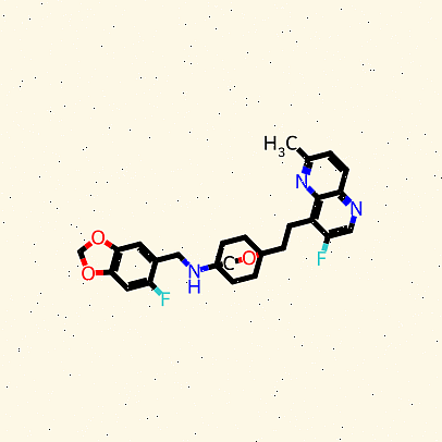 Cc1ccc2ncc(F)c(CCC34CCC(NCc5cc6c(cc5F)OCO6)(CC3)CO4)c2n1